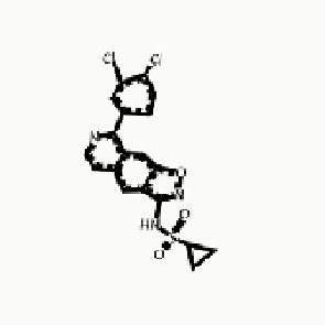 O=S(=O)(Nc1noc2cc3c(-c4ccc(Cl)c(Cl)c4)nccc3cc12)C1CC1